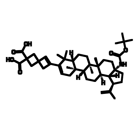 C=C(C)[C@@H]1CC[C@]2(NC(=O)OC(C)(C)C)CC[C@]3(C)[C@H](CC[C@@H]4[C@@]5(C)CC=C(C6=CC7(C6)CC(C(=O)O)(C(=O)O)C7)C(C)(C)[C@@H]5CC[C@]43C)[C@@H]12